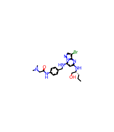 CCC[C@H](CO)Nc1cc(NCc2ccc(NC(=O)CN(C)C)cc2)n2ncc(Br)c2n1